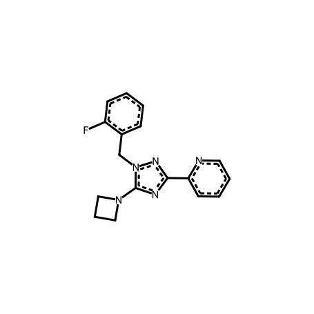 Fc1ccccc1Cn1nc(-c2ccccn2)nc1N1CCC1